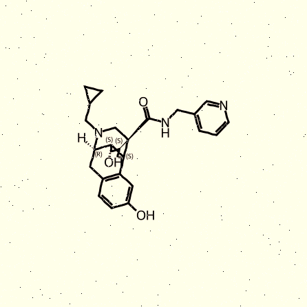 O=C(NCc1cccnc1)[C@H]1C[C@]23CCN(CC4CC4)[C@H](Cc4ccc(O)cc42)[C@]3(O)C1